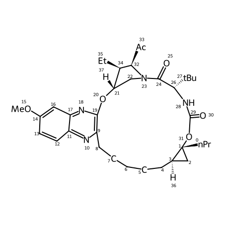 CCC[C@@]12C[C@H]1CCCCCc1nc3ccc(OC)cc3nc1O[C@H]1CN(C(=O)[C@H](C(C)(C)C)NC(=O)O2)[C@H](C(C)=O)[C@@H]1CC